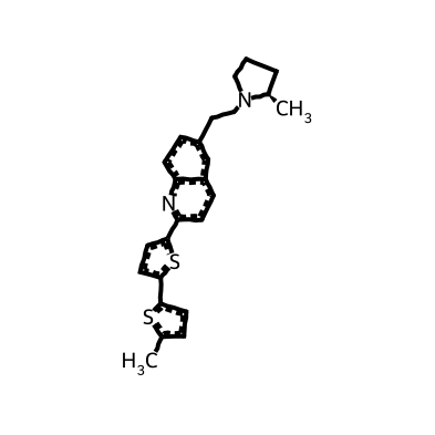 Cc1ccc(-c2ccc(-c3ccc4cc(CCN5CCC[C@H]5C)ccc4n3)s2)s1